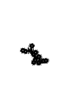 c1ccc(-c2nc(-c3ccc4ccccc4c3)nc(-c3ccc(-n4c5cc6ccccc6cc5c5c(-n6c7ccccc7c7cc8ccccc8cc76)cccc54)c4ccccc34)n2)cc1